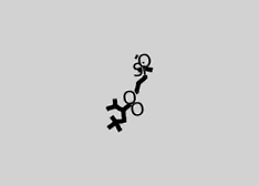 CO[Si](C)(C)CCCOC(=O)C(CC(C)(C)C)C(C)C